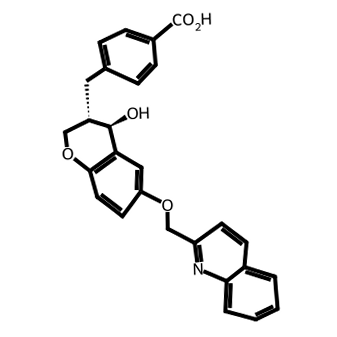 O=C(O)c1ccc(C[C@H]2COc3ccc(OCc4ccc5ccccc5n4)cc3[C@@H]2O)cc1